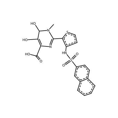 CN1C(c2sccc2NS(=O)(=O)c2ccc3ccccc3c2)=NC(C(=O)O)=C(O)C1O